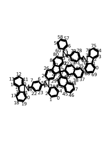 c1ccc(N(c2ccc(-n3c4ccccc4c4ccccc43)cc2)c2ccc3c(c2)C(c2ccc4ccccc4c2)(c2ccc4ccccc4c2)c2cc(N(c4ccccc4)c4ccc(-n5c6ccccc6c6ccccc65)cc4)ccc2-3)cc1